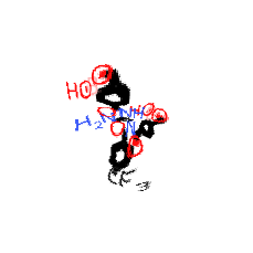 NC(=O)[C@H](CN(Cc1ccc(C(F)(F)F)cc1)C(=O)c1ccc2c(c1)B(O)OC2)NC(=O)c1ccc2c(c1)B(O)OC2